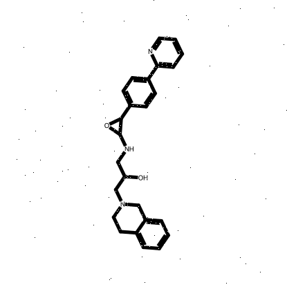 OC(CNC1OC1c1ccc(-c2ccccn2)cc1)CN1CCc2ccccc2C1